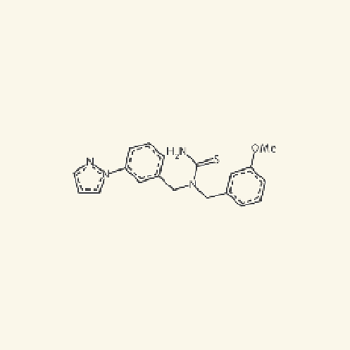 COc1cccc(CN(Cc2cccc(-n3cccn3)c2)C(N)=S)c1